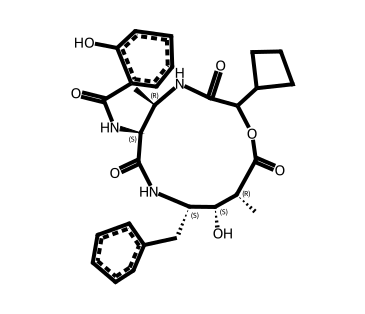 C[C@H]1NC(=O)C(C2CCC2)OC(=O)[C@H](C)[C@H](O)[C@H](Cc2ccccc2)NC(=O)[C@H]1NC(=O)c1ccccc1O